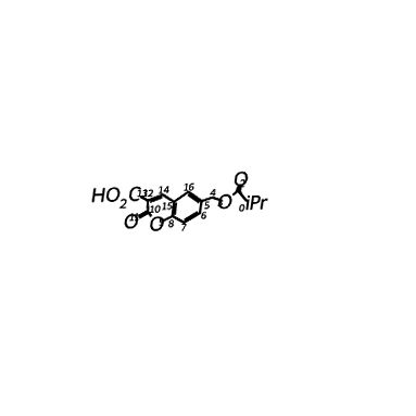 CC(C)C(=O)OCc1ccc2oc(=O)c(C(=O)O)cc2c1